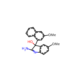 COc1ccc2c(c1)C(O)(c1cc(OC)cc3ccccc13)C(N)=N2